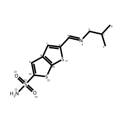 CC(C)C/N=C/c1cc2cc(S(N)(=O)=O)sc2s1